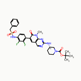 Cn1c(=O)c(-c2ccc(NS(=O)(=O)Cc3ccccc3)c(F)c2F)cc2cnc(N[C@H]3CCCN(C(=O)OC(C)(C)C)C3)nc21